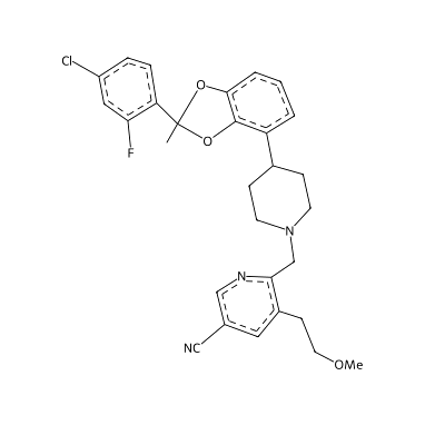 COCCc1cc(C#N)cnc1CN1CCC(c2cccc3c2OC(C)(c2ccc(Cl)cc2F)O3)CC1